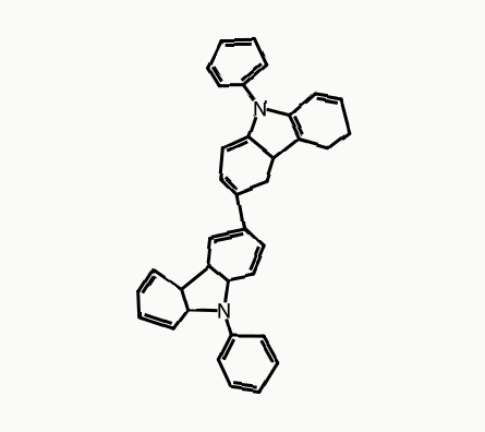 C1=CC2C3C=C(C4=CC=C5C(C4)C4=C(C=CCC4)N5c4ccccc4)C=CC3N(c3ccccc3)C2C=C1